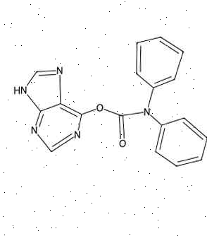 O=C(Oc1ncnc2[nH]cnc12)N(c1ccccc1)c1ccccc1